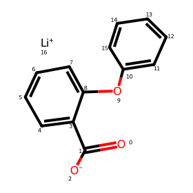 O=C([O-])c1ccccc1Oc1ccccc1.[Li+]